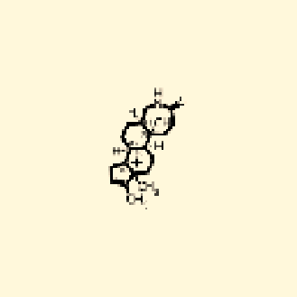 CC1=CC[C@H]2[C@@H]3CC[C@H]4CNC(=S)CC[C@]4(C)[C@H]3CC[C@]12C